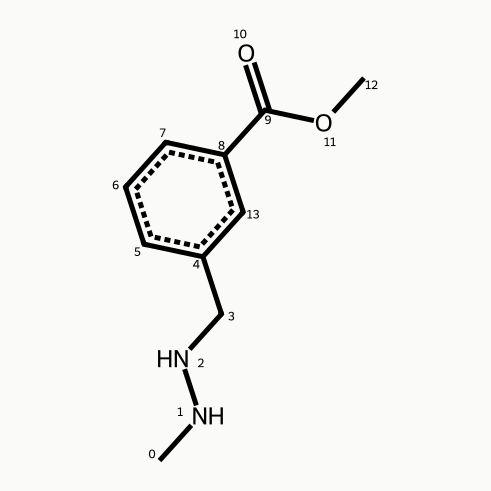 CNNCc1cccc(C(=O)OC)c1